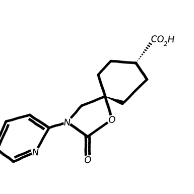 O=C1O[C@]2(CC[C@@H](C(=O)O)CC2)CN1c1ccccn1